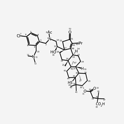 CC(=O)N(Cc1ccc(Cl)cc1CN(C)C)C[C@H](O)[C@@]12CC[C@]3(C)[C@H](CC[C@@H]4[C@@]5(C)CC[C@H](OC(=O)CC(C)(C)C(=O)O)C(C)(C)C5(S)CC[C@]43C)C1=C(C(C)C)C(=O)C2